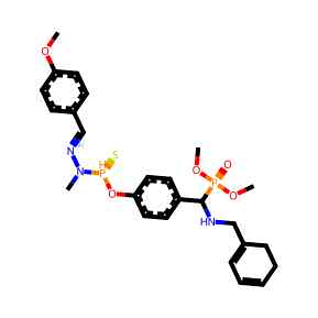 COc1ccc(/C=N/N(C)[PH](=S)Oc2ccc(C(NCC3=CC=CCC3)P(=O)(OC)OC)cc2)cc1